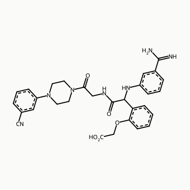 N#Cc1cccc(N2CCN(C(=O)CNC(=O)C(Nc3cccc(C(=N)N)c3)c3ccccc3OCC(=O)O)CC2)c1